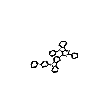 c1ccc(-c2ccc(-n3c4ccccc4c4cc(-c5nc(-c6ccccc6)nc6c7ccccc7n(-c7ccccc7)c56)ccc43)cc2)cc1